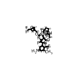 Cc1cc(N)cc(-c2nc3c4c(nc(OCC56COC(C(F)F)(C5)C6)nc4c2F)N2C[C@H]4CC[C@H](N4)[C@H]2CCO3)c1C(F)(F)F